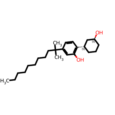 CCCCCCCCCC(C)(C)c1ccc([C@H]2CCC[C@H](O)C2)c(O)c1